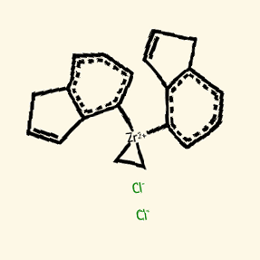 C1=Cc2c(ccc[c]2[Zr+2]2([c]3cccc4c3C=CC4)[CH2][CH2]2)C1.[Cl-].[Cl-]